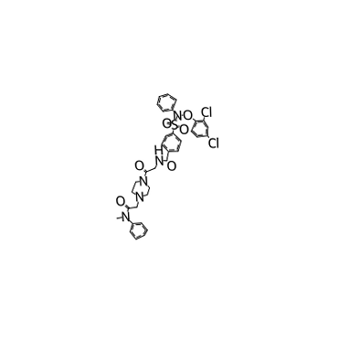 CN(C(=O)CN1CCN(C(=O)CNC(=O)c2ccc(S(=O)(=O)N(Oc3ccc(Cl)cc3Cl)c3ccccc3)cc2)CC1)c1ccccc1